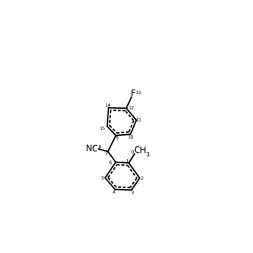 Cc1ccccc1C(C#N)c1ccc(F)cc1